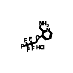 Cl.NCc1ncccc1OCC(F)(F)C(F)(F)F